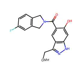 COCc1n[nH]c2cc(O)c(C(=O)N3Cc4ccc(F)cc4C3)cc12